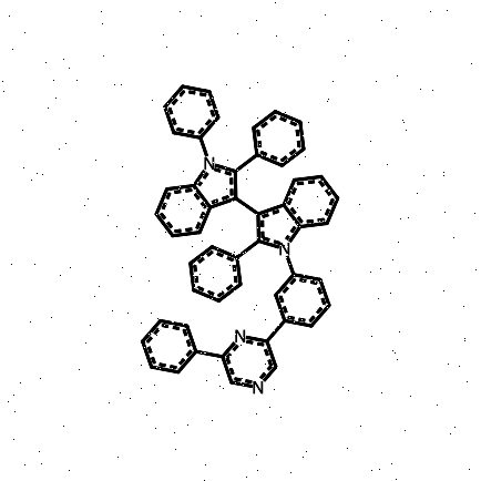 c1ccc(-c2cncc(-c3cccc(-n4c(-c5ccccc5)c(-c5c(-c6ccccc6)n(-c6ccccc6)c6ccccc56)c5ccccc54)c3)n2)cc1